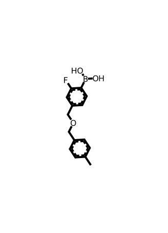 Cc1ccc(COCc2ccc(B(O)O)c(F)c2)cc1